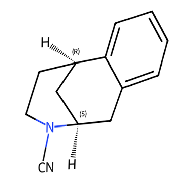 N#CN1CC[C@@H]2C[C@H]1Cc1ccccc12